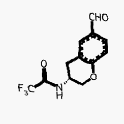 O=Cc1ccc2c(c1)C[C@@H](NC(=O)C(F)(F)F)CO2